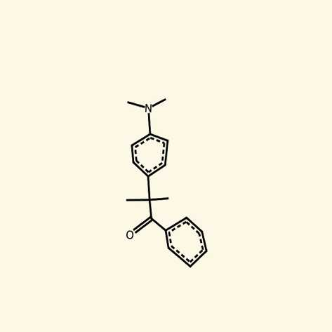 CN(C)c1ccc(C(C)(C)C(=O)c2ccccc2)cc1